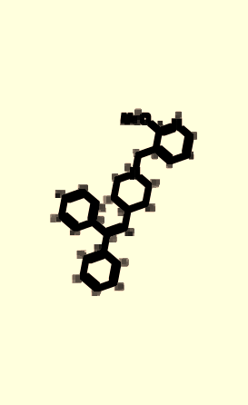 COc1ncccc1CN1CCC(C=C(c2ccccc2)c2ccccc2)CC1